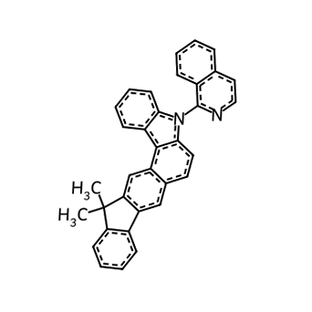 CC1(C)c2ccccc2-c2cc3ccc4c(c3cc21)c1ccccc1n4-c1nccc2ccccc12